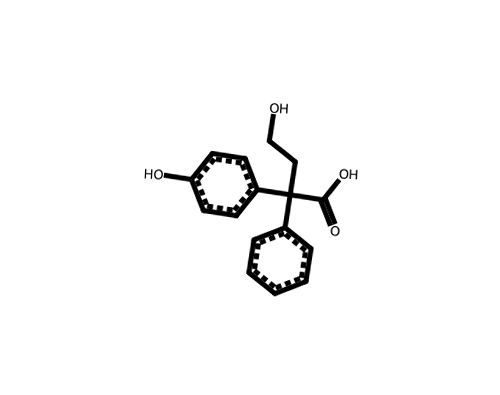 O=C(O)C(CCO)(c1ccccc1)c1ccc(O)cc1